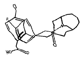 O=C(O)c1ccc(Cl)cc1OCC(=O)N1C2CCC1CN(Cc1ccc(F)cc1)C2